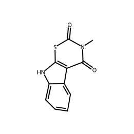 Cn1c(=O)sc2[nH]c3ccccc3c2c1=O